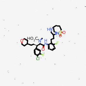 CN(C(=O)O)[C@H](C(=O)Nc1cccc(F)c1CCC1CNC2CCCS(=O)(=O)N1C2)[C@H](CCC1CCOCC1)c1ccc(Cl)c(F)c1